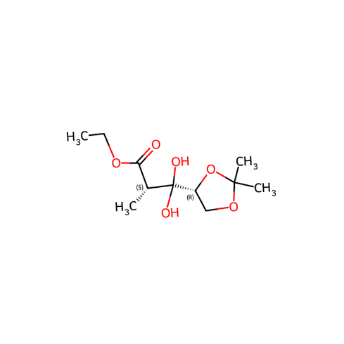 CCOC(=O)[C@@H](C)C(O)(O)[C@H]1COC(C)(C)O1